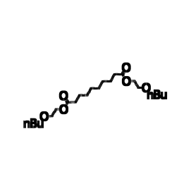 CCCCOCCOC(=O)CCCCCCCCC(=O)OCCOCCCC